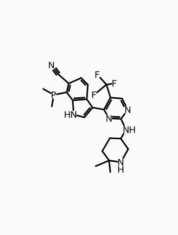 CP(C)c1c(C#N)ccc2c(-c3nc(NC4CCC(C)(C)NC4)ncc3C(F)(F)F)c[nH]c12